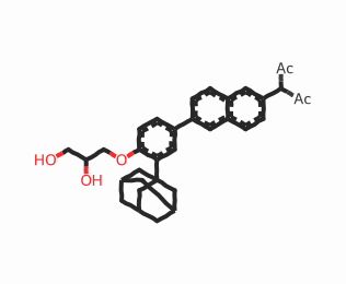 CC(=O)C(C(C)=O)c1ccc2cc(-c3ccc(OCC(O)CO)c(C45CC6CC(CC(C6)C4)C5)c3)ccc2c1